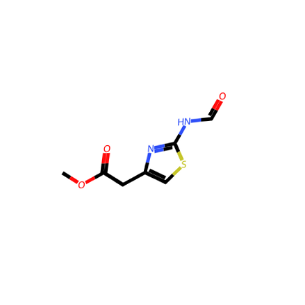 COC(=O)Cc1csc(NC=O)n1